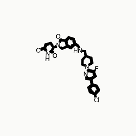 O=C1CCC(N2Cc3cc(CNCC4CCN(c5ncc(-c6ccc(Cl)cc6)cc5F)CC4)ccc3C2=O)C(=O)N1